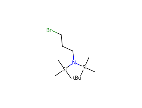 CC(C)(C)[Si](C)(C)N(CCCBr)[Si](C)(C)C